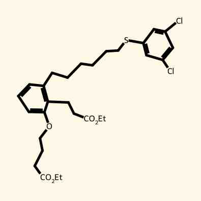 CCOC(=O)CCCOc1cccc(CCCCCCSc2cc(Cl)cc(Cl)c2)c1CCC(=O)OCC